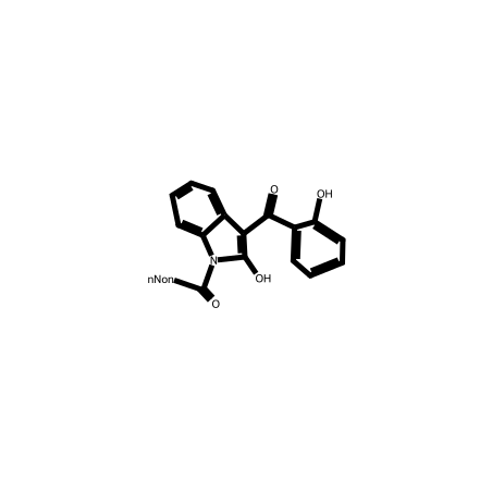 CCCCCCCCCC(=O)n1c(O)c(C(=O)c2ccccc2O)c2ccccc21